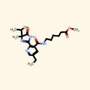 CCc1cnc(C2=NC(C)(C(C)C)C(=O)N2)c(C(=O)NCCCCCC(=O)OC)c1